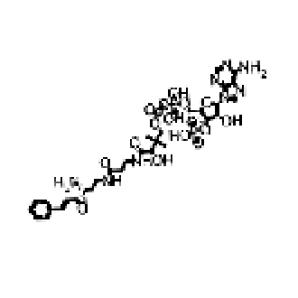 CC(C)(COP(=O)(O)OP(=O)(O)OC[C@H]1O[C@@H](n2cnc3c(N)ncnc32)[C@H](O)[C@@H]1OP(=O)(O)O)C(O)C(=O)NCCC(=O)NCC[SH](N)C(=O)/C=C/c1ccccc1